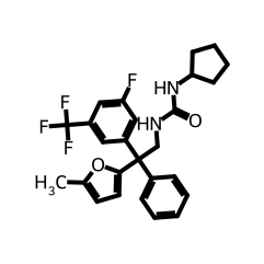 Cc1ccc(C(CNC(=O)NC2CCCC2)(c2ccccc2)c2cc(F)cc(C(F)(F)F)c2)o1